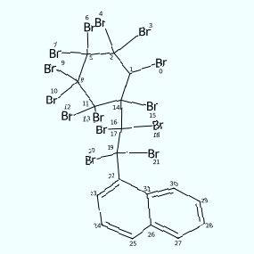 BrC1C(Br)(Br)C(Br)(Br)C(Br)(Br)C(Br)(Br)C1(Br)C(Br)(Br)C(Br)(Br)c1cccc2ccccc12